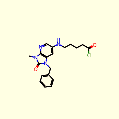 Cn1c(=O)n(Cc2ccccc2)c2cc(NCCCCC(=O)Cl)cnc21